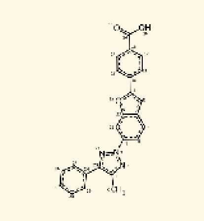 Cc1nn(-c2ccc3cc(-c4ccc(C(=O)O)cc4)oc3c2)nc1-c1ccccc1